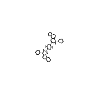 c1ccc(-c2nc(-c3cnc(-c4nc(-c5ccccc5)c5ccc6ccccc6c5n4)cn3)nc3c2ccc2ccccc23)cc1